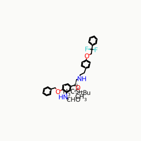 CC(C)(C)[Si](C)(C)O[C@H](CNCCc1ccc(OCC(F)(F)c2ccccc2)cc1)c1ccc(OCc2ccccc2)c(NC=O)c1